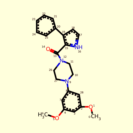 COc1cc(OC)cc(N2CCN(C(=O)c3[nH]ccc3-c3ccccc3)CC2)c1